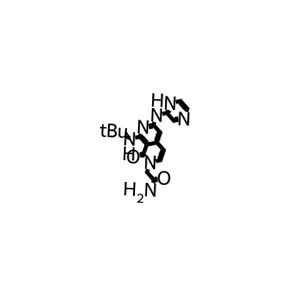 CC(C)(C)Nc1nc(Nc2cnccn2)cc2ccn(CC(N)=O)c(=O)c12